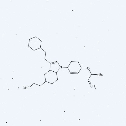 C=CC(CCCC)OC1C=CC(N2C=C(CCC3CCCCC3)C3CC(CCC=O)CCC32)CC1